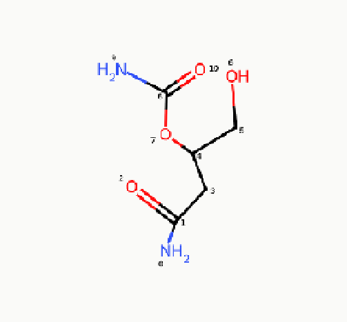 NC(=O)CC(CO)OC(N)=O